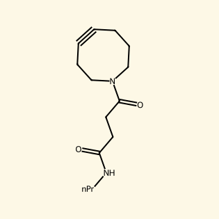 CCCNC(=O)CCC(=O)N1CCC#CCCC1